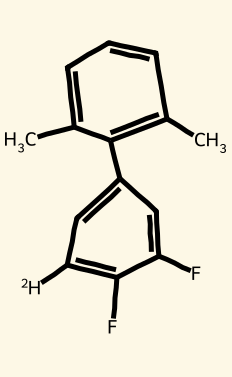 [2H]c1cc(-c2c(C)cccc2C)cc(F)c1F